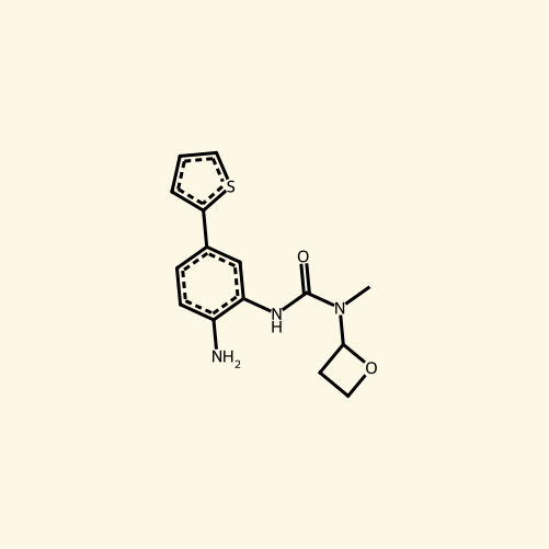 CN(C(=O)Nc1cc(-c2cccs2)ccc1N)C1CCO1